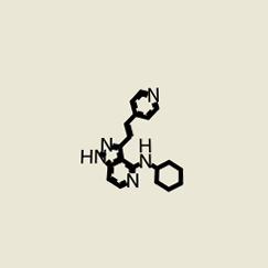 C(=Cc1n[nH]c2ccnc(NC3CCCCC3)c12)c1ccncc1